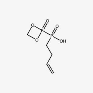 C=CCCP(=O)(O)P1(=O)OCO1